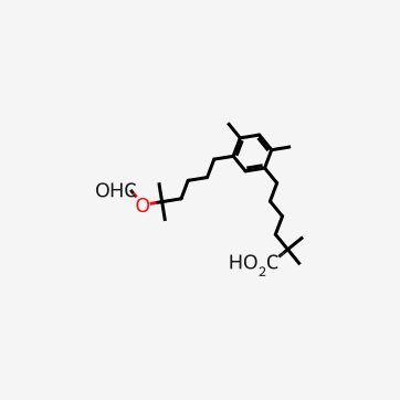 Cc1cc(C)c(CCCCC(C)(C)C(=O)O)cc1CCCCC(C)(C)OC=O